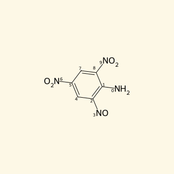 Nc1c(N=O)cc([N+](=O)[O-])cc1[N+](=O)[O-]